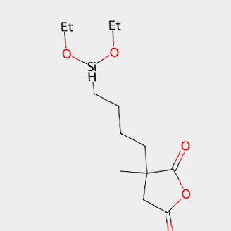 CCO[SiH](CCCCC1(C)CC(=O)OC1=O)OCC